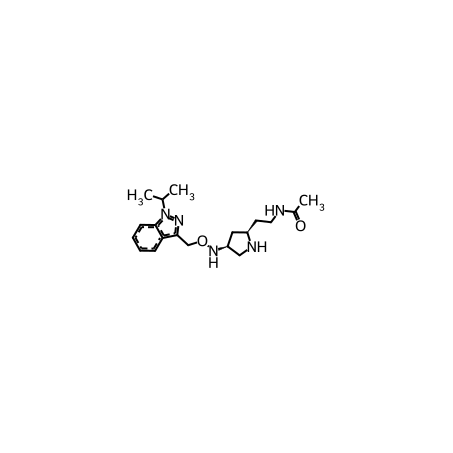 CC(=O)NCC[C@@H]1C[C@H](NOCc2nn(C(C)C)c3ccccc23)CN1